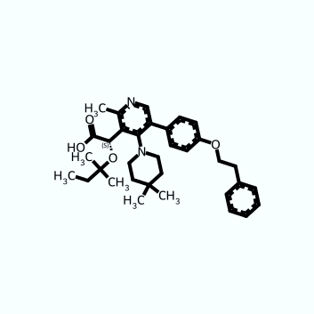 CCC(C)(C)O[C@H](C(=O)O)c1c(C)ncc(-c2ccc(OCCc3ccccc3)cc2)c1N1CCC(C)(C)CC1